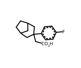 O=C(O)CC1(c2ccc(F)cc2)CC2CCC(C2)C1